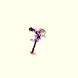 C=C[C@@H]1C[C@@]1(NC(=O)[C@H]1C[C@@H](OC(=O)N2Cc3cccc(F)c3C2)CN1C(=O)OC(C)(C)C)C(=O)NS(=O)(=O)N(C)CCCCCCCCCCCC(=O)O